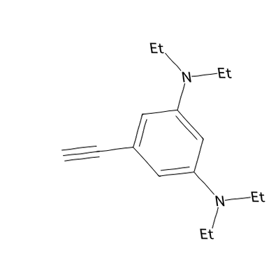 C#Cc1cc(N(CC)CC)cc(N(CC)CC)c1